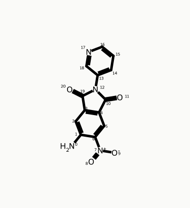 Nc1cc2c(cc1[N+](=O)[O-])C(=O)N(c1cccnc1)C2=O